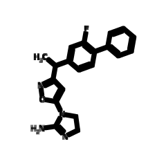 CC(c1ccc(-c2ccccc2)c(F)c1)c1cc(N2CCN=C2N)on1